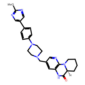 COc1ncc(-c2ccc(N3CCN(Cc4cnc5c(c4)NC(=O)[C@@H]4CCCCN54)CC3)cc2)cn1